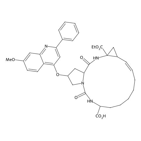 CCOC(=O)C12CC1C=CCCCCCC(C(=O)O)NC(=O)N1CC(Oc3cc(-c4ccccc4)nc4cc(OC)ccc34)CC1C(=O)N2